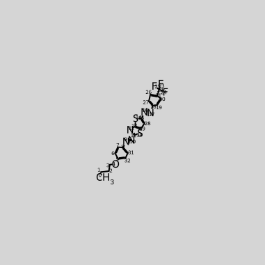 CCCCOc1ccc(N=Nc2nc3sc(N=Nc4ccc(C(F)(F)F)cc4)cc3s2)cc1